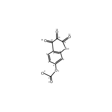 O=C(Cl)Oc1ccc2c(c1)SC(=O)C(=O)C2=O